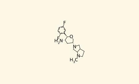 CN1CCC2CN([C@H]3CO[C@H](c4cc(F)ccc4F)[C@@H](N)C3)CC21